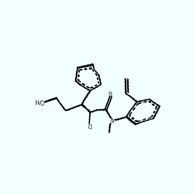 C=Cc1ccccc1N(C)C(=O)C(Cl)C(CCO)c1ccccc1